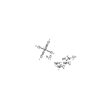 O.[NH4+].[NH4+].[NH4+].[NH4+].[O-2].[O]=[W](=[O])([O-])[O-]